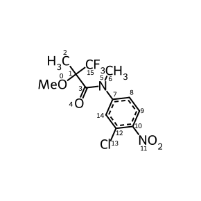 COC(C)(C(=O)N(C)c1ccc([N+](=O)[O-])c(Cl)c1)C(F)(F)F